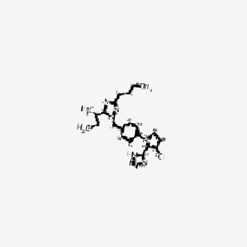 CCCCc1nc(C(C)CC)n(Cc2ccc(-n3ccc(Cl)c3-c3nnn[nH]3)cc2)n1